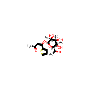 CC(=O)C(O)[C@H]1O[C@@H](OC(=CC(=O)C(F)(F)F)c2cccs2)[C@@](O)(C(C)=O)[C@](O)(C(C)=O)[C@]1(O)C(C)=O